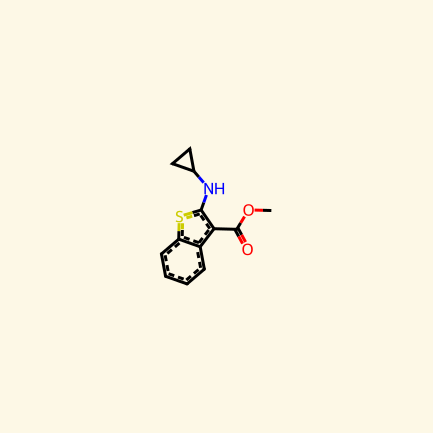 COC(=O)c1c(NC2CC2)sc2ccccc12